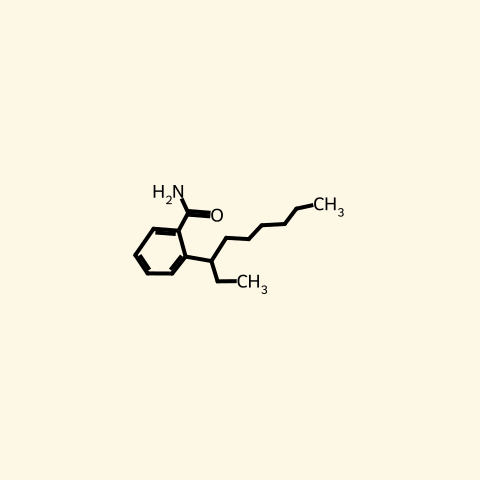 CCCCCCC(CC)c1ccccc1C(N)=O